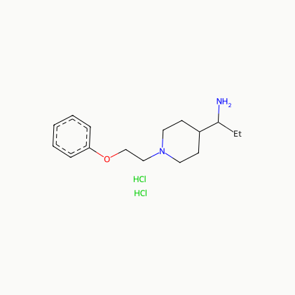 CCC(N)C1CCN(CCOc2ccccc2)CC1.Cl.Cl